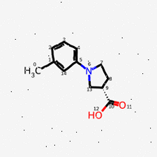 Cc1cccc(N2CC[C@H](C(=O)O)C2)c1